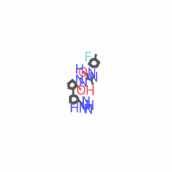 CC1=NN(c2ccc(C)c(F)c2)C(=O)/C1=N\Nc1cccc(-c2cccc(-c3nnn[nH]3)c2)c1O